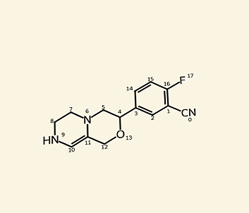 N#Cc1cc(C2CN3CCNC=C3CO2)ccc1F